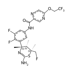 C[C@@H]1[C@@](C)(CF)SC(N)=N[C@]1(C)c1cc(NC(=O)c2cnc(OCC(F)(F)F)cn2)cc(F)c1F